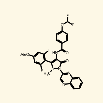 COc1cc(F)c(-c2c(NC(=O)c3ccc(OC(F)F)cc3)c(=O)n(-c3cnc4ccccc4n3)n2C)c(F)c1